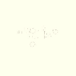 Cc1ccc(C(=O)Oc2cc(COC(=O)NCC(=O)c3ccccc3)ccc2OC(=O)C(C)C)cc1